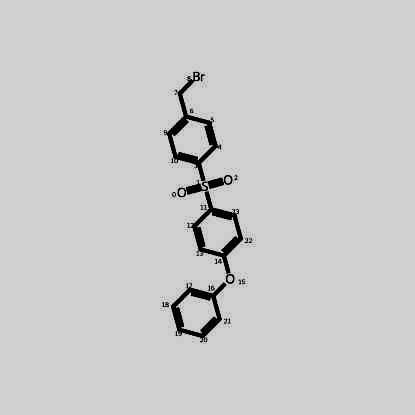 O=S(=O)(c1ccc(CBr)cc1)c1ccc(Oc2ccccc2)cc1